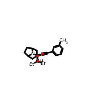 CCN(CC)C(=O)N1C2CCC1CC(O)(C#Cc1cccc(C)c1)C2